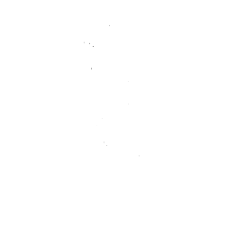 CCOC(=O)N1CCc2ncc(C)cc2C1